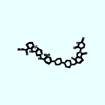 CNC(=O)c1ccccc1Nc1cc(Nc2ccc(N3CCC(N4CCN(Cc5ccc6c(c5F)CN(C5CCC(=O)NC5=O)C6=O)CC4)CC3)cc2OC)ncc1C(F)(F)F